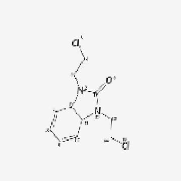 O=C1N(CCCl)C2C=CC=CC2N1CCCl